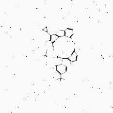 Cc1cccc2c1-c1cc(C3CC3)c(F)c(c1)[C@@H](CC(=O)O)NC(=O)[C@H](n1ccc(C(F)(F)F)cc1=O)c1cc(ccc1F)CO2